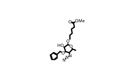 COC(=O)CCCCCO[C@H]1OC(C)C(N=[N+]=[N-])C(OCc2ccccc2)C1O